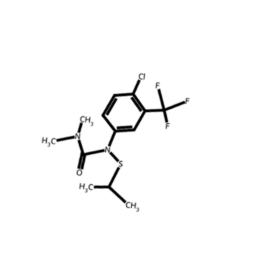 CC(C)SN(C(=O)N(C)C)c1ccc(Cl)c(C(F)(F)F)c1